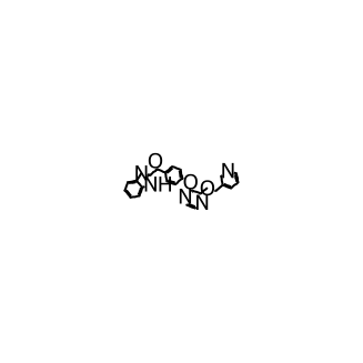 O=C(c1ccc(Oc2nccnc2OCc2cccnc2)cc1)c1nc2ccccc2[nH]1